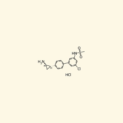 CS(=O)(=O)Nc1cc(Cl)cc(-c2ccc([C@@H]3C[C@H]3N)cc2)c1.Cl